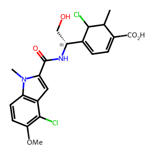 COc1ccc2c(cc(C(=O)N[C@H](CO)C3=CC=C(C(=O)O)C(C)C3Cl)n2C)c1Cl